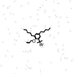 C=CCOc1c(CCCCC)cc(CCCCC)cc1C(C)(C)Br